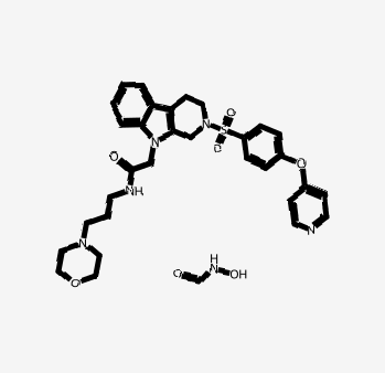 O=C(Cn1c2c(c3ccccc31)CCN(S(=O)(=O)c1ccc(Oc3ccncc3)cc1)C2)NCCCN1CCOCC1.O=CNO